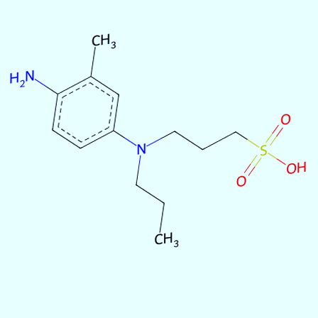 CCCN(CCCS(=O)(=O)O)c1ccc(N)c(C)c1